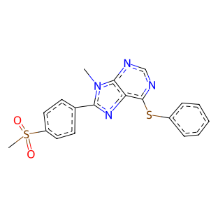 Cn1c(-c2ccc(S(C)(=O)=O)cc2)nc2c(Sc3ccccc3)ncnc21